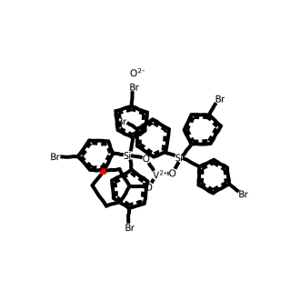 Brc1ccc([Si]([O][V+2]([O]C2CCCCC2)[O][Si](c2ccc(Br)cc2)(c2ccc(Br)cc2)c2ccc(Br)cc2)(c2ccc(Br)cc2)c2ccc(Br)cc2)cc1.[O-2]